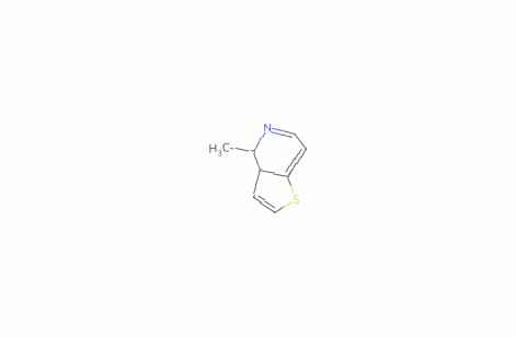 CC1N=CC=C2SC=CC21